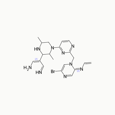 C=C/N=c1/cnc(Br)cn1Cc1nccc(N2CC(C)NC(/C(C=N)=C/N)C2C)n1